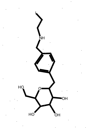 OCC1OC(Cc2ccc(CNCCI)cc2)C(O)C(O)C1O